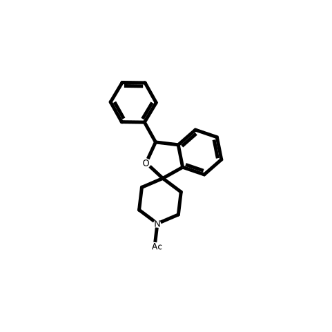 CC(=O)N1CCC2(CC1)OC(c1ccccc1)c1ccccc12